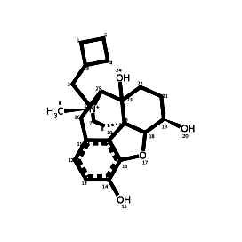 C[N@+]1(CC2CCC2)CC[C@@]23c4c5ccc(O)c4OC2[C@H](O)CCC3(O)C1C5